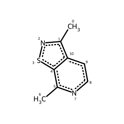 Cc1nsc2c(C)nccc12